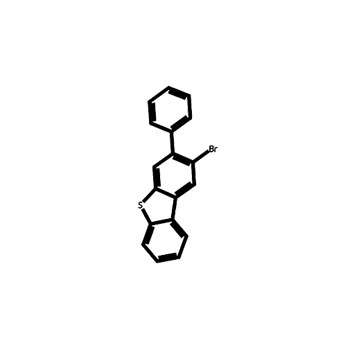 Brc1cc2c(cc1-c1ccccc1)sc1ccccc12